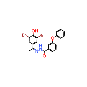 C/C(=N/NC(=O)c1cccc(Oc2ccccc2)c1)c1cc(Br)c(O)c(Br)c1